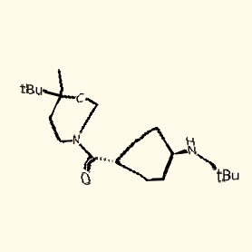 CC(C)(C)N[C@H]1CC[C@H](C(=O)N2CCC(C)(C(C)(C)C)CC2)CC1